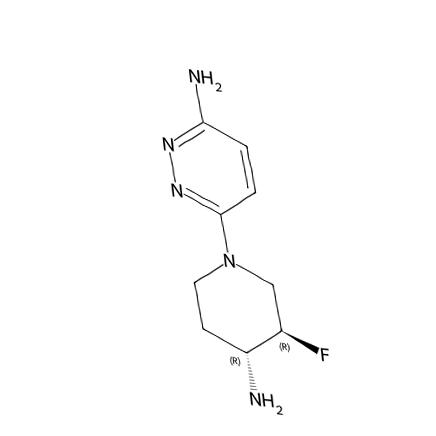 Nc1ccc(N2CC[C@@H](N)[C@H](F)C2)nn1